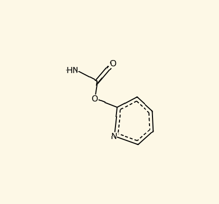 [NH]C(=O)Oc1ccccn1